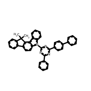 CC1(C)c2ccccc2-c2ccc3c(c21)c1ccccc1n3-c1nc(-c2ccccc2)nc(-c2ccc(-c3ccccc3)cc2)n1